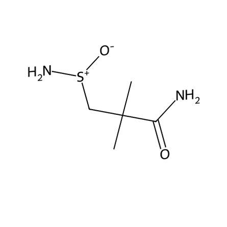 CC(C)(C[S+](N)[O-])C(N)=O